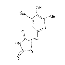 CC(C)(C)c1cc(/C=C2/SC(=S)NC2=O)cc(C(C)(C)C)c1O